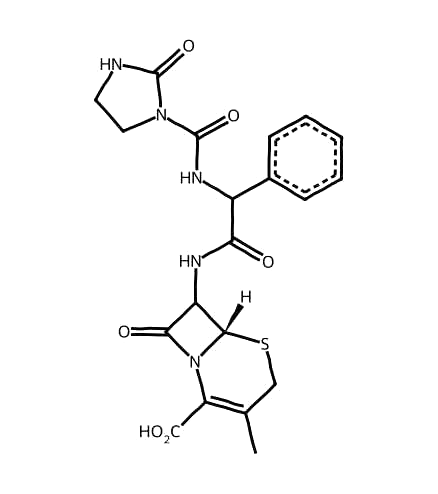 CC1=C(C(=O)O)N2C(=O)C(NC(=O)C(NC(=O)N3CCNC3=O)c3ccccc3)[C@@H]2SC1